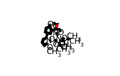 COc1cccc(-c2ccc3c(c2)C2(COC(N(C(=O)OC(C)(C)C)C(=O)OC(C)(C)C)=N2)C2(COC2)CO3)n1